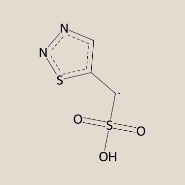 O=S(=O)(O)[CH]c1cnns1